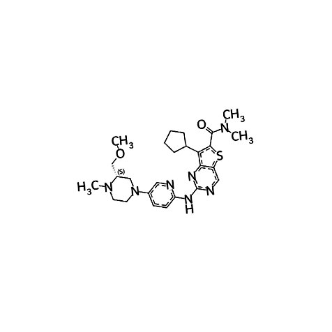 COC[C@@H]1CN(c2ccc(Nc3ncc4sc(C(=O)N(C)C)c(C5CCCC5)c4n3)nc2)CCN1C